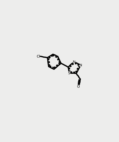 O=Cc1nnc(-c2ccc(Cl)cc2)s1